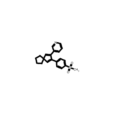 CS(=O)(=O)c1ccc(C2=CC3(C=C2c2cccnc2)CCCC3)cc1